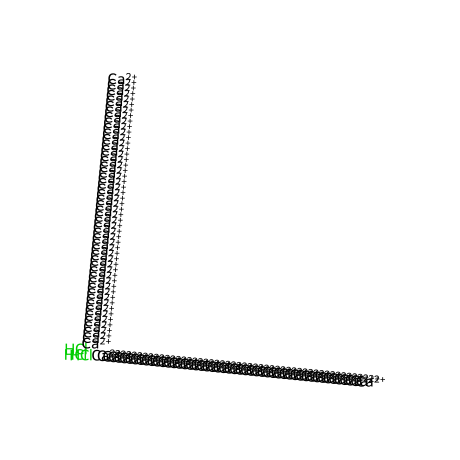 Cl.Cl.Cl.[Ca+2].[Ca+2].[Ca+2].[Ca+2].[Ca+2].[Ca+2].[Ca+2].[Ca+2].[Ca+2].[Ca+2].[Ca+2].[Ca+2].[Ca+2].[Ca+2].[Ca+2].[Ca+2].[Ca+2].[Ca+2].[Ca+2].[Ca+2].[Ca+2].[Ca+2].[Ca+2].[Ca+2].[Ca+2].[Ca+2].[Ca+2].[Ca+2].[Ca+2].[Ca+2].[Ca+2].[Ca+2].[Ca+2].[Ca+2].[Ca+2].[Ca+2].[Ca+2].[Ca+2].[Ca+2].[Ca+2].[Ca+2].[Ca+2].[Ca+2].[Ca+2].[Ca+2].[Ca+2].[Ca+2].[Ca+2].[Ca+2].[Ca+2].[Ca+2].[Ca+2].[Ca+2].[Ca+2].[Ca+2].[Ca+2].[Ca+2].[Ca+2].[Ca+2].[Ca+2].[Ca+2].[Ca+2].[Ca+2].[Ca+2].[Ca+2].[Ca+2].[Ca+2].[Ca+2].[Ca+2].[Ca+2].[Ca+2].[Ca+2].[Ca+2].[Ca+2].[Ca+2].[Ca+2].[Ca+2].[Ca+2].[Ca+2].[Ca+2].[Ca+2].[Ca+2].[Ca+2].[Ca+2].[Ca+2].[Ca+2].[Ca+2].[Ca+2].[Ca+2].[Ca+2].[Ca+2].[Ca+2].[Ca+2].[Ca+2].[Ca+2].[Ca+2].[Ca+2].[Ca+2]